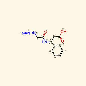 [N-]=[N+]=NCC(=O)N[C@@H](CC(=O)O)c1ccccc1